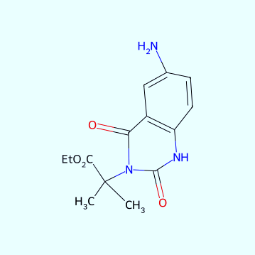 CCOC(=O)C(C)(C)n1c(=O)[nH]c2ccc(N)cc2c1=O